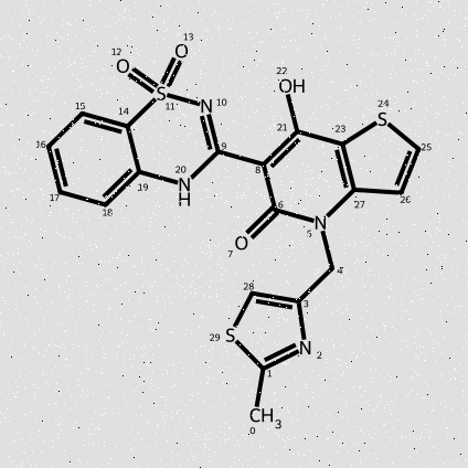 Cc1nc(Cn2c(=O)c(C3=NS(=O)(=O)c4ccccc4N3)c(O)c3sccc32)cs1